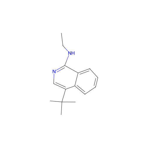 CCNc1ncc(C(C)(C)C)c2ccccc12